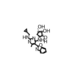 Cc1nc(NCC2CC2)nc(N[C@@H]2C[C@H](CO)[C@@H](O)[C@H]2O)c1-c1nc2ccccc2o1